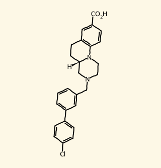 O=C(O)c1ccc2c(c1)CC[C@H]1CN(Cc3cccc(-c4ccc(Cl)cc4)c3)CCN21